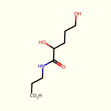 O=C(O)CCNC(=O)C(O)CCCO